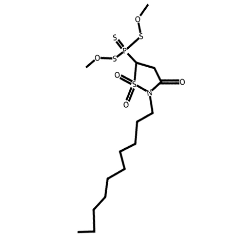 CCCCCCCCCCN1C(=O)CC(P(=S)(SOC)SOC)S1(=O)=O